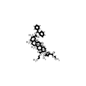 C=CCOC(=O)[C@@]1(C)C2CC[C@]3(C)[C@H](C(=O)C=C4[C@@H]5C[C@@](C)(C(=O)OC(c6ccccc6)c6ccccc6)CC[C@]5(C)CC[C@]43C)[C@@]2(C)CC[C@@H]1n1nc(C(=O)OCC)cc1C